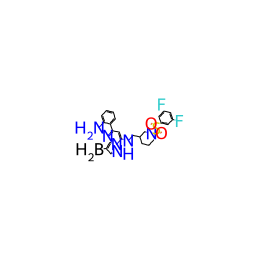 Bc1cnn2c(NCC3CCCN(S(=O)(=O)c4cc(F)cc(F)c4)C3)cc(-c3ccccc3N)nc12